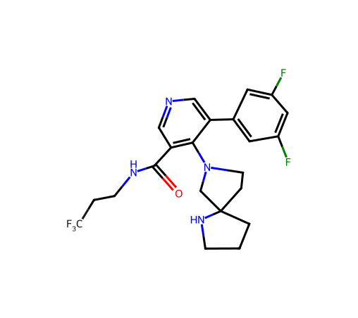 O=C(NCCC(F)(F)F)c1cncc(-c2cc(F)cc(F)c2)c1N1CCC2(CCCN2)C1